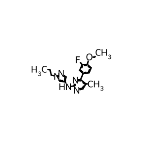 CCCn1cc(Nc2ncc(C)c(-c3ccc(OCC)c(F)c3)n2)cn1